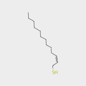 CCCCCCCCCC/C=C\CS